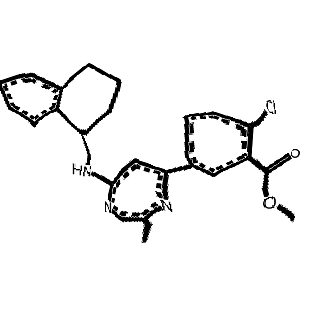 COC(=O)c1cc(-c2cc(N[C@@H]3CCCc4ccccc43)nc(C)n2)ccc1Cl